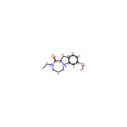 CCN1CCCN2c3cc(OC)ccc3CC2C1=O